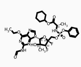 CCOc1nc(NC=O)nc2c1ncn2[C@@H]1O[C@](F)(COP(=O)(N[C@@H](C)C(=O)OC2CCCCC2)Oc2ccccc2)[C@@H](F)[C@@]1(C)O